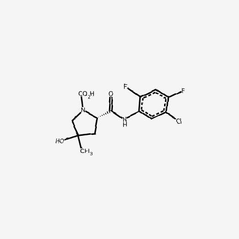 CC1(O)C[C@@H](C(=O)Nc2cc(Cl)c(F)cc2F)N(C(=O)O)C1